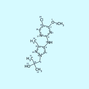 COc1nc(Nc2cn(CC(C)(C)O)nc2C)ncc1Cl